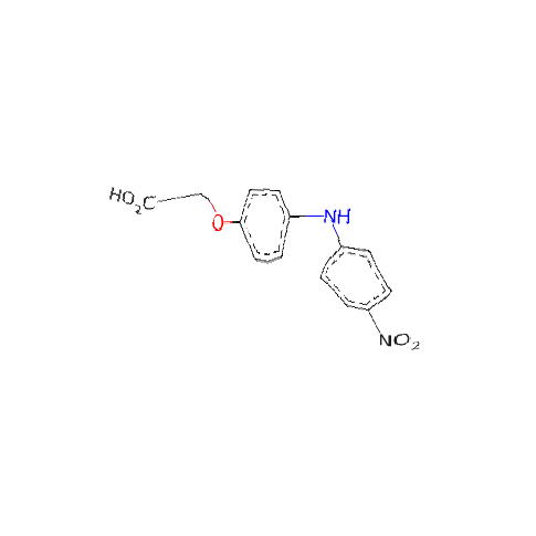 O=C(O)COc1ccc(Nc2ccc([N+](=O)[O-])cc2)cc1